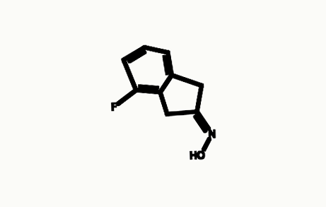 ON=C1Cc2cccc(F)c2C1